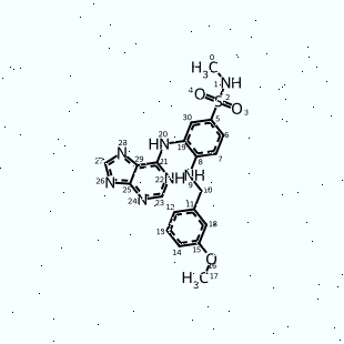 CNS(=O)(=O)c1ccc(NCc2cccc(OC)c2)c(Nc2[nH]cnc3ncnc2-3)c1